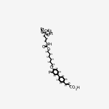 CCO[Si](CCCNC(=O)OCCCCCCOc1ccc(-c2ccc(/C=C/C(=O)O)cc2)cc1F)(OCC)OCC